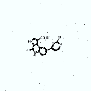 CCOC(=O)c1c[nH]c2c(=O)[nH]c3ccc(-c4ccnc(N)n4)cc3c12